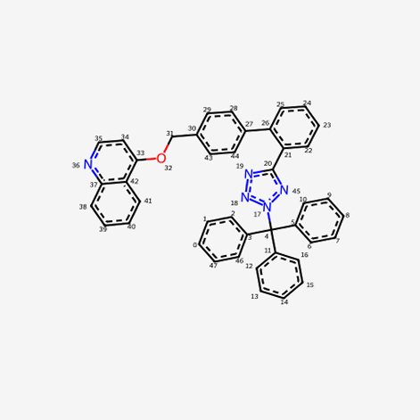 c1ccc(C(c2ccccc2)(c2ccccc2)n2nnc(-c3ccccc3-c3ccc(COc4ccnc5ccccc45)cc3)n2)cc1